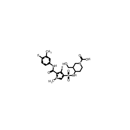 Cc1cc(NC(=O)c2c(F)c(S(=O)(=O)NC3CCN(C(=O)O)CC3CO)cn2C)ccc1F